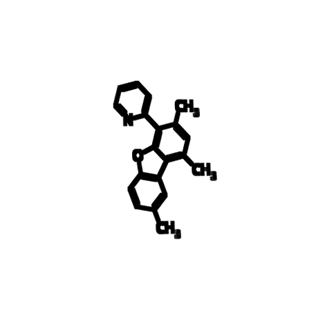 Cc1ccc2oc3c(-c4ccccn4)c(C)cc(C)c3c2c1